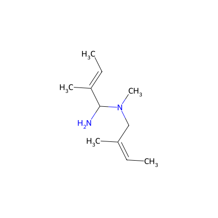 CC=C(C)CN(C)C(N)C(C)=CC